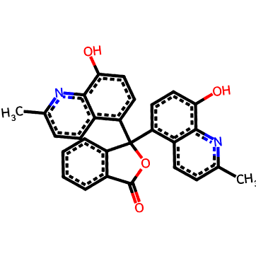 Cc1ccc2c(C3(c4ccc(O)c5nc(C)ccc45)OC(=O)c4ccccc43)ccc(O)c2n1